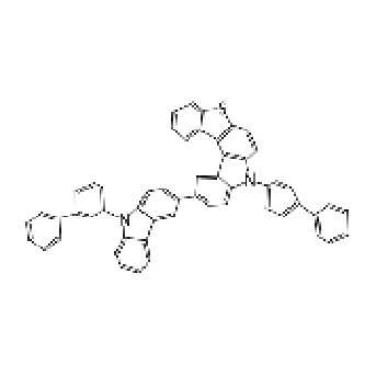 c1ccc(-c2ccc(-n3c4ccc(-c5ccc6c(c5)c5ccccc5n6-c5cccc(-c6ccccc6)c5)cc4c4c5c(ccc43)sc3ccccc35)cc2)cc1